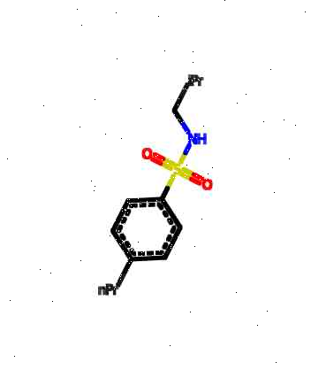 [CH2]CCc1ccc(S(=O)(=O)NCC(C)C)cc1